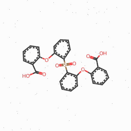 O=C(O)c1ccccc1Oc1ccccc1S(=O)(=O)c1ccccc1Oc1ccccc1C(=O)O